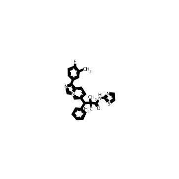 Cc1cc(-c2ncn3cc(C(c4ccccc4)C(C)(C)C(=O)Nc4nccs4)ccc23)ccc1F